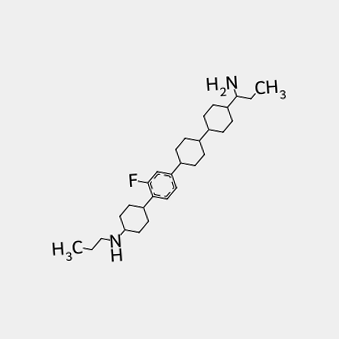 CCCNC1CCC(c2ccc(C3CCC(C4CCC(C(N)CC)CC4)CC3)cc2F)CC1